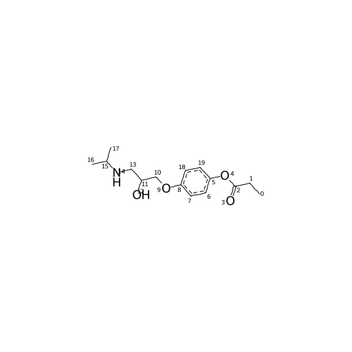 CCC(=O)Oc1ccc(OCC(O)CNC(C)C)cc1